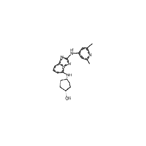 Cc1cc(Nc2nc3cccc(N[C@H]4CC[C@@H](O)CC4)n3n2)cc(C)n1